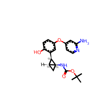 CC(C)(C)OC(=O)N[C@@]12C[C@H]1[C@H]2c1cc(Oc2ccnc(N)c2)ccc1O